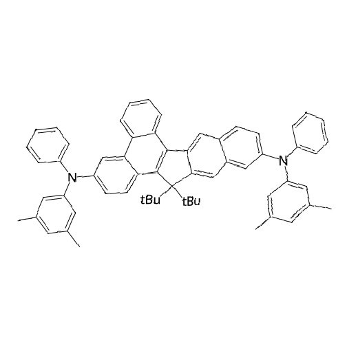 Cc1cc(C)cc(N(c2ccccc2)c2ccc3cc4c(cc3c2)C(C(C)(C)C)(C(C)(C)C)c2c-4c3ccccc3c3cc(N(c4ccccc4)c4cc(C)cc(C)c4)ccc23)c1